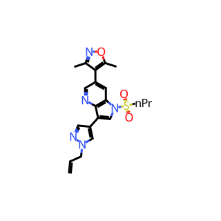 C=CCn1cc(-c2cn(S(=O)(=O)CCC)c3cc(-c4c(C)noc4C)cnc23)cn1